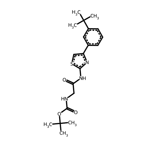 CC(C)(C)OC(=O)NCC(=O)Nc1nc(-c2cccc(C(C)(C)C)c2)cs1